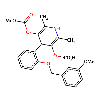 COC(=O)OC1=C(C)NC(C)=C(OC(=O)O)C1c1ccccc1OCc1cccc(OC)c1